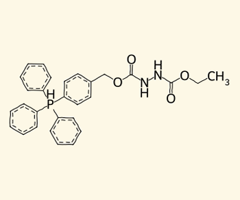 CCOC(=O)NNC(=O)OCc1ccc([PH](c2ccccc2)(c2ccccc2)c2ccccc2)cc1